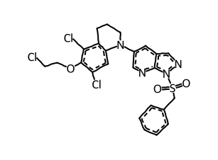 O=S(=O)(Cc1ccccc1)n1ncc2cc(N3CCCc4c3cc(Cl)c(OCCCl)c4Cl)cnc21